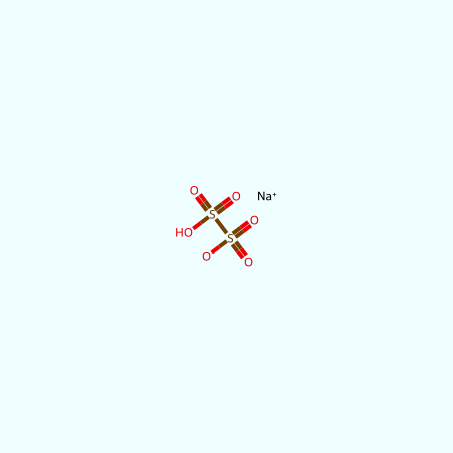 O=S(=O)([O-])S(=O)(=O)O.[Na+]